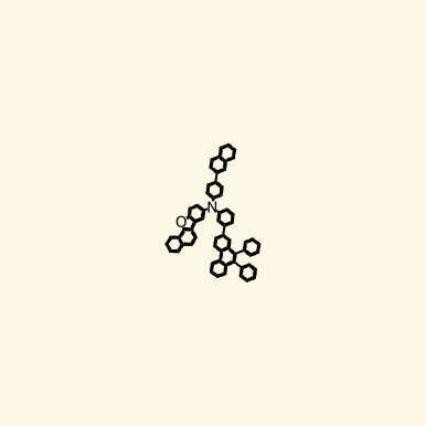 c1ccc(-c2c(-c3ccccc3)c3cc(-c4cccc(N(c5ccc(-c6ccc7ccccc7c6)cc5)c5ccc6oc7c8ccccc8ccc7c6c5)c4)ccc3c3ccccc23)cc1